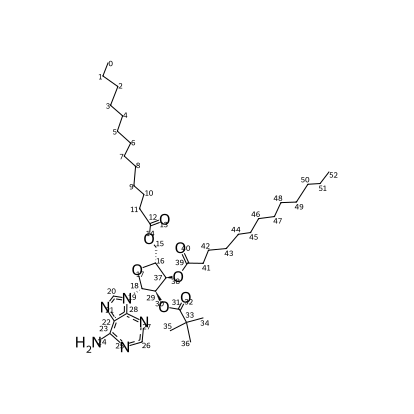 CCCCCCCCCCCCC(=O)OC[C@H]1O[C@@H](n2cnc3c(N)ncnc32)[C@H](OC(=O)C(C)(C)C)[C@@H]1OC(=O)CCCCCCCCCCCC